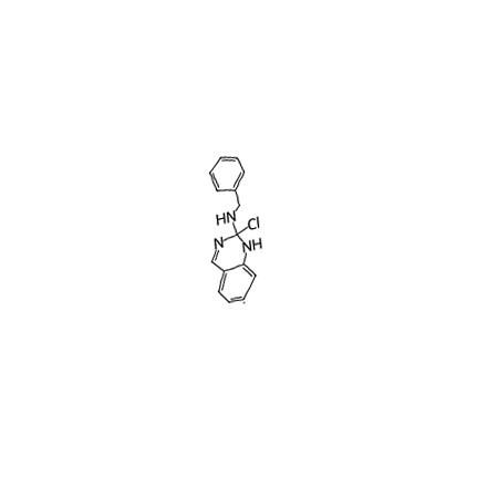 ClC1(NCc2ccccc2)N=Cc2cc[c]cc2N1